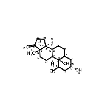 C[C@]12C(Cl)C[C@@H](O)CC1CC[C@@H]1[C@@H]2CC[C@]2(C)C(=O)CC[C@@H]12